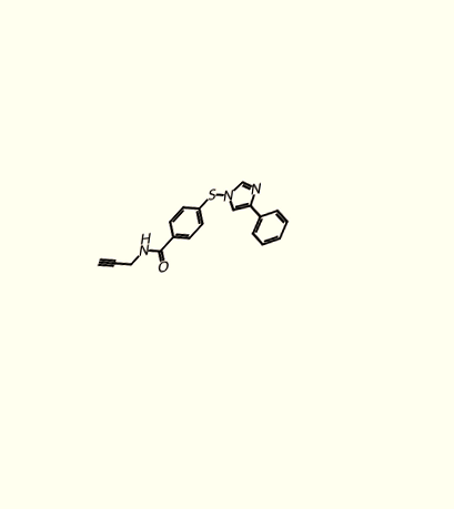 C#CCNC(=O)c1ccc(Sn2cnc(-c3ccccc3)c2)cc1